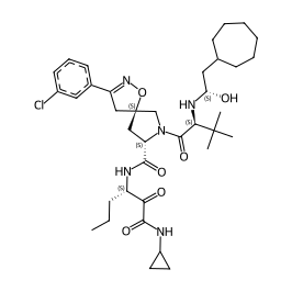 CCC[C@H](NC(=O)[C@@H]1C[C@]2(CC(c3cccc(Cl)c3)=NO2)CN1C(=O)[C@@H](N[C@@H](O)CC1CCCCCC1)C(C)(C)C)C(=O)C(=O)NC1CC1